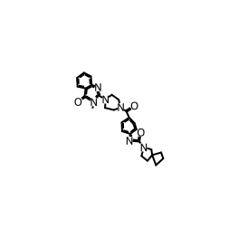 Cn1c(N2CCN(C(=O)c3ccc4nc(N5CCC6(CCC6)C5)oc4c3)CC2)nc2ccccc2c1=O